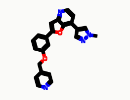 Cn1cc(-c2ccnc3cc(-c4cccc(OCc5ccncc5)c4)oc23)cn1